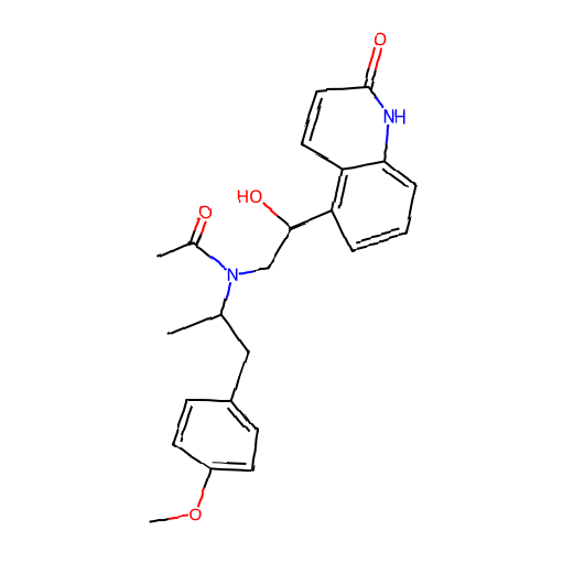 COc1ccc(CC(C)N(CC(O)c2cccc3[nH]c(=O)ccc23)C(C)=O)cc1